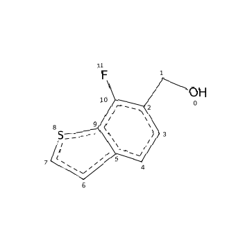 OCc1ccc2ccsc2c1F